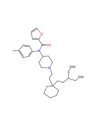 CC(=O)OCC(CCC1(CCN2CCC(N(C(=O)c3ccco3)c3ccc(C)cc3)CC2)CCCCC1)COC(C)=O